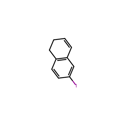 Ic1ccc2c(c1)C=CCC2